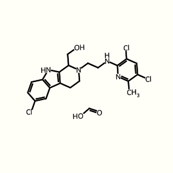 Cc1nc(NCCN2CCc3c([nH]c4ccc(Cl)cc34)C2CO)c(Cl)cc1Cl.O=CO